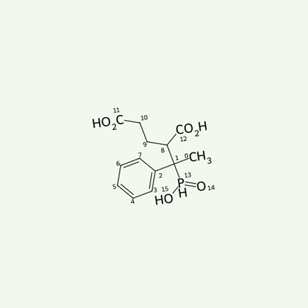 CC(c1ccccc1)(C(CCC(=O)O)C(=O)O)[PH](=O)O